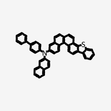 c1ccc(-c2ccc(N(c3ccc4ccccc4c3)c3ccc4c(ccc5ccc6c(ccc7c8ccccc8sc76)c54)c3)cc2)cc1